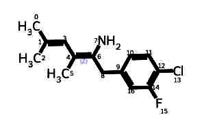 CC(C)=C/C(C)=C(\N)Cc1ccc(Cl)c(F)c1